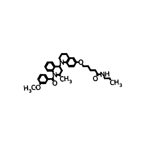 CCCNC(=O)CCCCOc1ccc2c(c1)CCCN2C1CC(C)N(C(=O)c2cccc(OC)c2)c2ccccc21